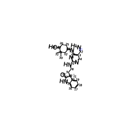 C/N=C\c1cnc(NCC[C@]2(C)C(=O)Nc3ccccc32)nc1N[C@@H]1CC[C@H](O)C(C)(C)C1